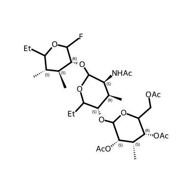 CCC1OC(F)[C@H](OC2OC(CC)[C@@H](OC3OC(COC(C)=O)[C@H](OC(C)=O)[C@H](C)[C@@H]3OC(C)=O)[C@H](C)[C@@H]2NC(C)=O)[C@@H](C)[C@@H]1C